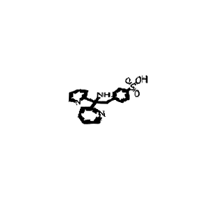 NC(Cc1ccc(S(=O)(=O)O)cc1)(c1ccccn1)c1ccccn1